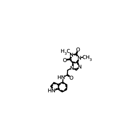 Cn1c(=O)c2c(ncn2CC(=O)Nc2cccc3[nH]ccc23)n(C)c1=O